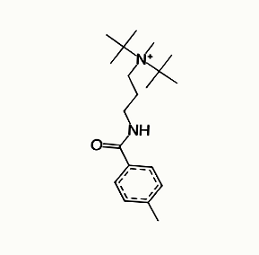 Cc1ccc(C(=O)NCCC[N+](C)(C(C)(C)C)C(C)(C)C)cc1